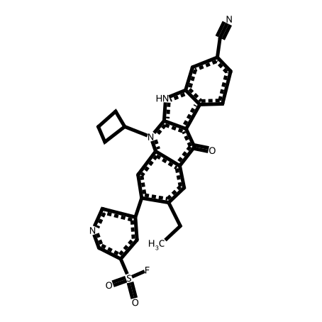 CCc1cc2c(=O)c3c4ccc(C#N)cc4[nH]c3n(C3CCC3)c2cc1-c1cncc(S(=O)(=O)F)c1